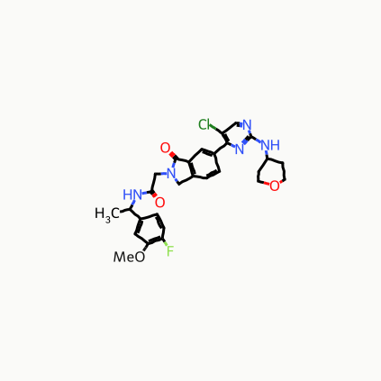 COc1cc(C(C)NC(=O)CN2Cc3ccc(-c4nc(NC5CCOCC5)ncc4Cl)cc3C2=O)ccc1F